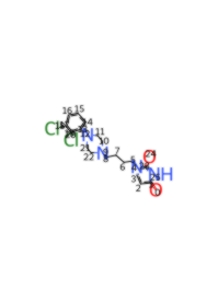 O=c1ccn(CCCCN2CCN(c3cccc(Cl)c3Cl)CC2)c(=O)[nH]1